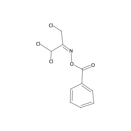 O=C(ON=C(CCl)C(Cl)Cl)c1ccccc1